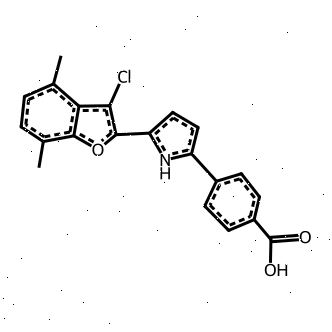 Cc1ccc(C)c2c(Cl)c(-c3ccc(-c4ccc(C(=O)O)cc4)[nH]3)oc12